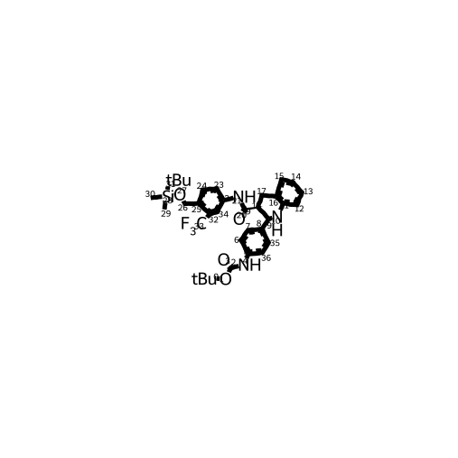 CC(C)(C)OC(=O)Nc1ccc(C2Nc3ccccc3C[C@@H]2C(=O)Nc2ccc(CO[Si](C)(C)C(C)(C)C)c(C(F)(F)F)c2)cc1